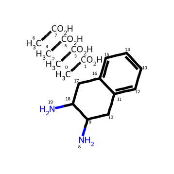 CC(=O)O.CC(=O)O.CC(=O)O.CC(=O)O.NC1Cc2ccccc2CC1N